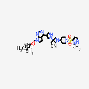 Cn1nccc1S(=O)(=O)N1CCC(N2CC(CC#N)(n3cc(-c4ncnc5c4ccn5COCC[Si](C)(C)C)cn3)C2)CC1